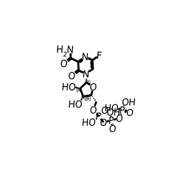 NC(=O)c1nc(F)cn([C@@H]2O[C@H](COP(=O)(O)OP(=O)(O)OP(=O)(O)O)[C@H](O)[C@H]2O)c1=O